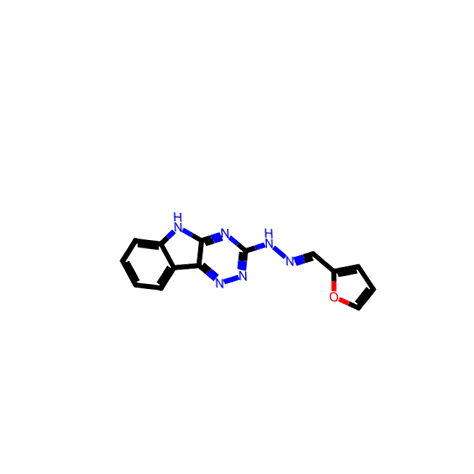 C(=N\Nc1nnc2c(n1)[nH]c1ccccc12)/c1ccco1